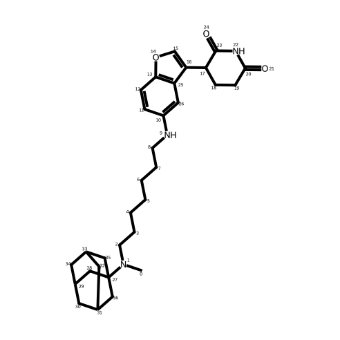 CN(CCCCCCCNc1ccc2occ(C3CCC(=O)NC3=O)c2c1)C12CC3CC(CC(C3)C1)C2